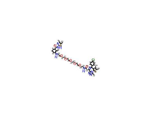 Cc1nc(NC(=O)c2cccc(NCCOCCOCCOCCOCCOCCNC(=O)C[C@@H]3N=C(c4ccc(Cl)cc4)c4c(sc(C)c4C)-n4c(C)nnc43)c2C)sc1C